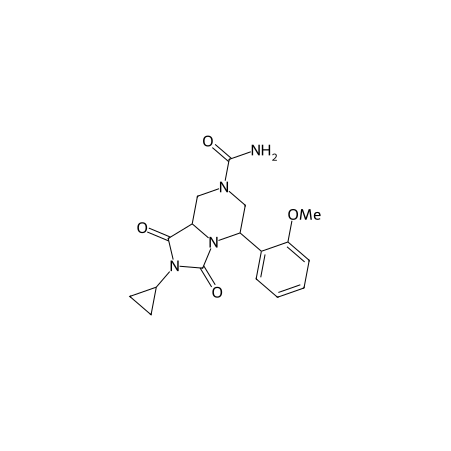 COc1ccccc1C1CN(C(N)=O)CC2C(=O)N(C3CC3)C(=O)N21